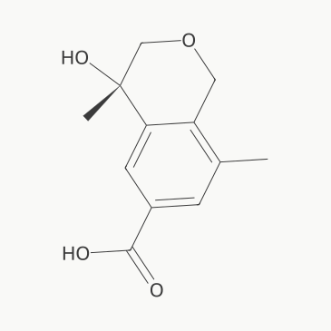 Cc1cc(C(=O)O)cc2c1COC[C@@]2(C)O